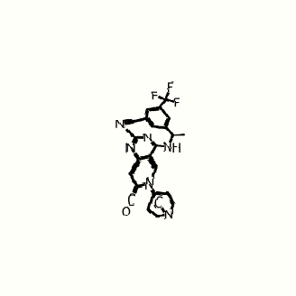 Cc1nc(N[C@H](C)c2cc(C#N)cc(C(F)(F)F)c2)c2c(n1)=CC(=C=O)N(C13CCN(CC1)CC3)C=2